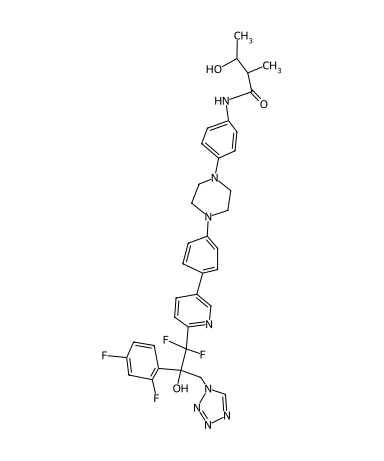 CC(O)C(C)C(=O)Nc1ccc(N2CCN(c3ccc(-c4ccc(C(F)(F)C(O)(Cn5cnnn5)c5ccc(F)cc5F)nc4)cc3)CC2)cc1